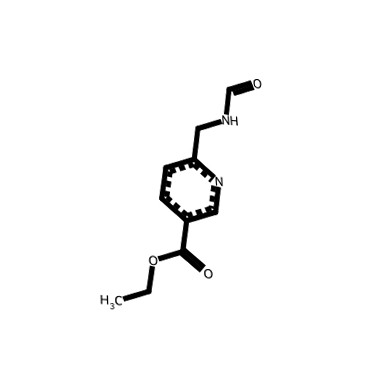 CCOC(=O)c1ccc(CNC=O)nc1